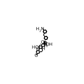 C[C@]12C=CC(=O)C=C1CC[C@@H]1[C@@H]2[C@@H](O)C[C@@]2(C)[C@H]1C[C@H]1O[C@@H](c3cccc(Cc4cccc(N)c4)c3)O[C@]12C(=O)CO